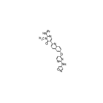 CC(C)Nc1ncc(-c2ccc3cc(Oc4ccnc(Nc5cnoc5)n4)ccc3n2)c(=O)n1C